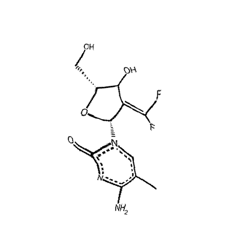 Cc1cn([C@@H]2O[C@H](CO)C(O)C2=C(F)F)c(=O)nc1N